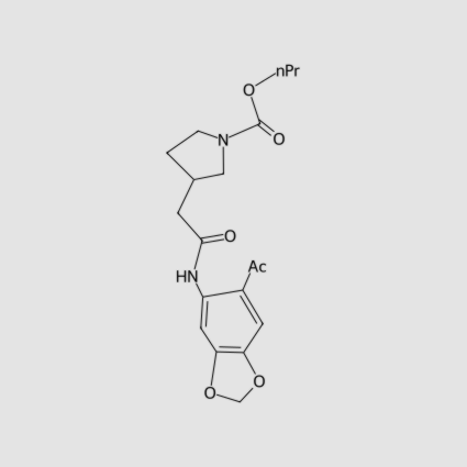 CCCOC(=O)N1CCC(CC(=O)Nc2cc3c(cc2C(C)=O)OCO3)C1